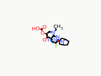 CCn1cc(OC(=O)O)c(=O)c2cc(F)c(N3C4CCC3CC(N)C4)nc21